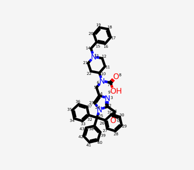 O=Cc1nc(CN(C(=O)O)C2CCN(Cc3ccccc3)CC2)cn1C(c1ccccc1)(c1ccccc1)c1ccccc1